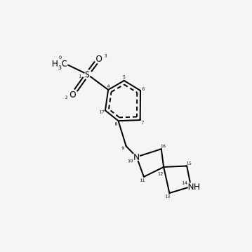 CS(=O)(=O)c1cccc(CN2CC3(CNC3)C2)c1